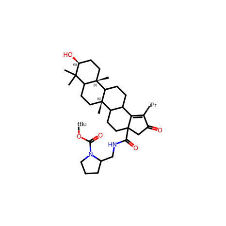 CC(C)C1=C2C3CCC4[C@@](C)(CCC5C(C)(C)[C@@H](O)CC[C@@]54C)C3CCC2(C(=O)NCC2CCCN2C(=O)OC(C)(C)C)CC1=O